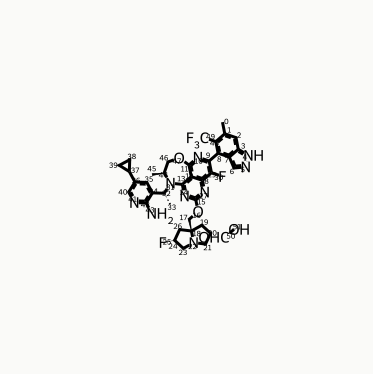 Cc1cc2[nH]ncc2c(-c2nc3c4c(nc(OC[C@@]56CCCN5C[C@H](F)C6)nc4c2F)N([C@H](C)c2cc(C4CC4)cnc2N)[C@@H](C)CO3)c1C(F)(F)F.O=CO